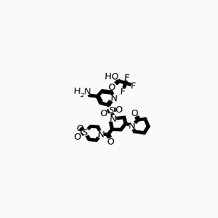 NCc1ccnc(S(=O)(=O)N2CC(C(=O)N3CCS(=O)(=O)CC3)CC(N3CCCCC3=O)C2)c1.O=C(O)C(F)(F)F